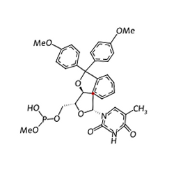 COc1ccc(C(O[C@H]2C[C@H](n3cc(C)c(=O)[nH]c3=O)O[C@@H]2COP(O)OC)(c2ccccc2)c2ccc(OC)cc2)cc1